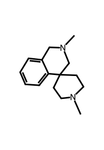 CN1CCC2(CC1)CN(C)Cc1ccccc12